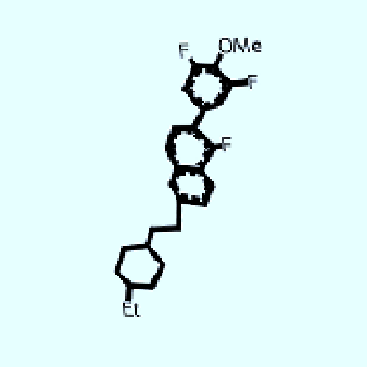 CCC1CCC(CCc2ccc3c(F)c(-c4cc(F)c(OC)c(F)c4)ccc3c2)CC1